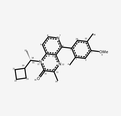 COc1cc(C)c(-c2nccc3c2nc(C)c(=O)n3[C@@H](C)C2CCC2)cc1C